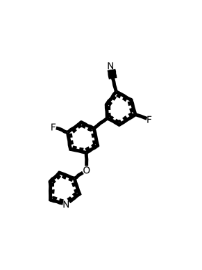 N#Cc1cc(F)cc(-c2cc(F)cc(Oc3cccnc3)c2)c1